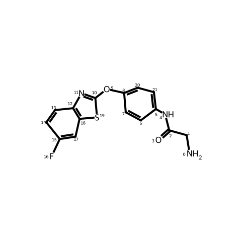 NCC(=O)Nc1ccc(Oc2nc3ccc(F)cc3s2)cc1